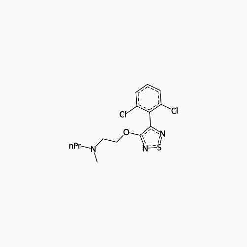 CCCN(C)CCOc1nsnc1-c1c(Cl)cccc1Cl